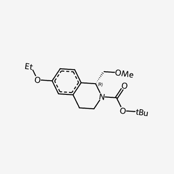 CCOc1ccc2c(c1)CCN(C(=O)OC(C)(C)C)[C@H]2COC